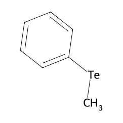 C[Te]c1ccccc1